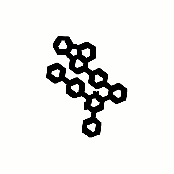 c1ccc(-c2ccc(-c3nc(-c4ccccc4)cc(-c4ccccc4-c4ccc(-c5ccc6c7c(cccc57)-c5ccccc5-6)cc4)n3)cc2)cc1